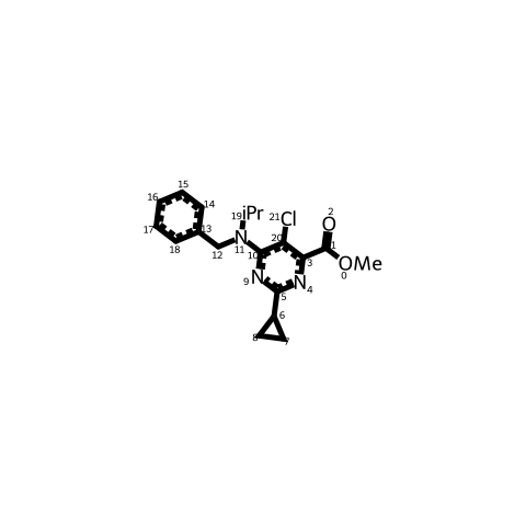 COC(=O)c1nc(C2CC2)nc(N(Cc2ccccc2)C(C)C)c1Cl